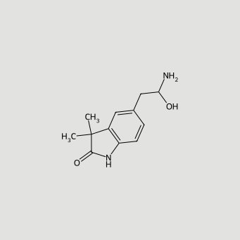 CC1(C)C(=O)Nc2ccc(CC(N)O)cc21